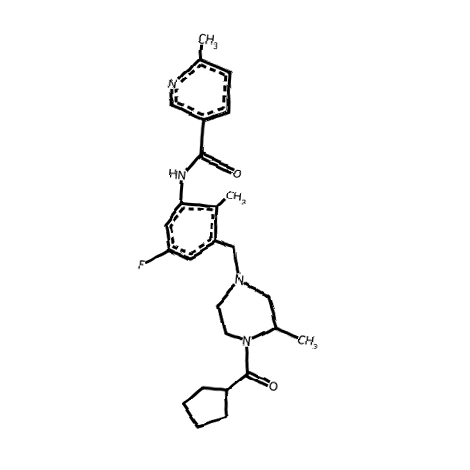 Cc1ccc(C(=O)Nc2cc(F)cc(CN3CCN(C(=O)C4CCCC4)C(C)C3)c2C)cn1